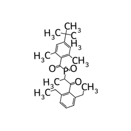 CCc1cccc(CC)c1C(=O)C(C)[P](=O)C(=O)c1c(C)cc(C(C)(C)C)cc1C